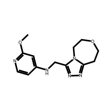 COc1cc(NCc2nnc3n2CCOCC3)ccn1